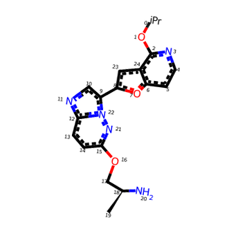 CC(C)Oc1nccc2oc(-c3cnc4ccc(OC[C@H](C)N)nn34)cc12